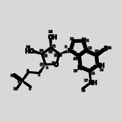 C=P(C)(C)CC[C@H]1O[C@@H](n2cnc3c(=S)[nH]c(NC)nc32)[C@H](O)[C@@H]1O